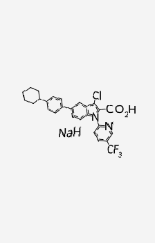 O=C(O)c1c(Cl)c2cc(-c3ccc(C4CCCCC4)cc3)ccc2n1-c1ccc(C(F)(F)F)cn1.[NaH]